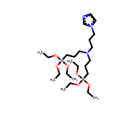 CCO[Si](CCCN(CCCn1ccnc1)CCC[Si](OCC)(OCC)OCC)(OCC)OCC